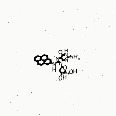 Nc1nc2c(nc(Nc3cc4ccc5cccc6ccc(c3)c4c56)n2C2C[C@H](O)[C@@H](CO)O2)c(=O)[nH]1